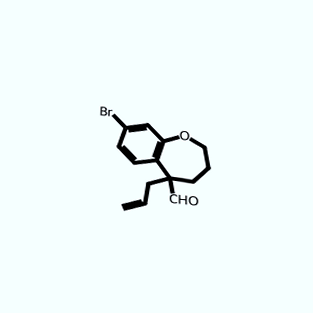 C=CCC1(C=O)CCCOc2cc(Br)ccc21